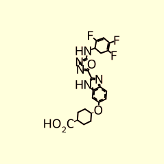 O=C(O)[C@H]1CC[C@H](Oc2ccc3nc(-c4nnc(NC5CC(F)=C(F)C=C5F)o4)[nH]c3c2)CC1